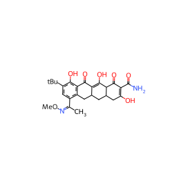 CO/N=C(/C)c1cc(C(C)(C)C)c(O)c2c1CC1CC3CC(O)=C(C(N)=O)C(=O)C3C(O)=C1C2=O